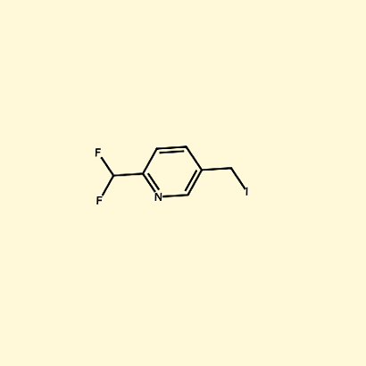 FC(F)c1ccc(CI)cn1